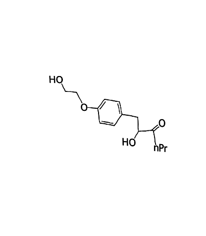 CCCC(=O)C(O)Cc1ccc(OCCO)cc1